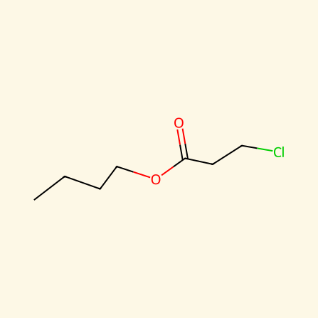 CCCCOC(=O)CCCl